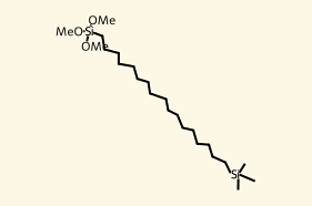 CO[Si](CCCCCCCCCCCCCCCCCC[Si](C)(C)C)(OC)OC